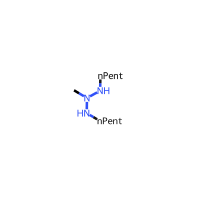 CCCCCNN(C)NCCCCC